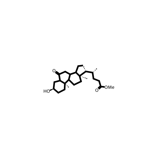 COC(=O)CC[C@@H](C)[C@H]1CCC2C3CC(=O)C4C[C@H](O)CC[C@]4(C)C3CC[C@@]21C